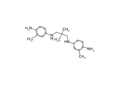 Cc1cc(NCC(C)(C)CNc2ccc(N)c(C)c2)ccc1N